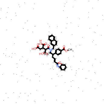 COC(=O)c1ccc(C(C/C=C/c2nc3ccccc3o2)C(C)N(Cc2ccc3ccccc3c2)C(=O)C(C(=O)O)C(CC(=O)O)C(=O)O)cc1